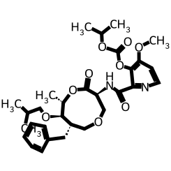 COc1ccnc(C(=O)N[C@H]2COC[C@H](Cc3ccccc3)[C@@H](OCC(C)C)[C@H](C)OC2=O)c1OC(=O)OC(C)C